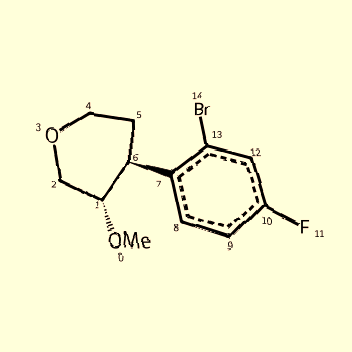 CO[C@@H]1COCC[C@H]1c1ccc(F)cc1Br